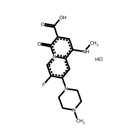 CNc1cc(C(=O)O)c(=O)n2cc(F)c(N3CCN(C)CC3)cc12.Cl